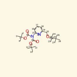 CC(C)(C)OC(=O)N(C(=O)OC(C)(C)C)c1cccc(CO[Si](C)(C)C(C)(C)C)n1